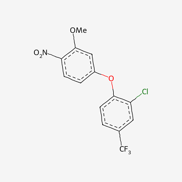 COc1cc(Oc2ccc(C(F)(F)F)cc2Cl)ccc1[N+](=O)[O-]